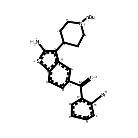 CCCCN1CCC(c2c(N)sc3ccc(C(=O)c4ccccc4Br)cc23)CC1